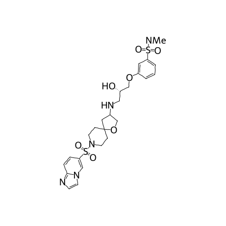 CNS(=O)(=O)c1cccc(OC[C@@H](O)CNC2COC3(CCN(S(=O)(=O)c4ccc5nccn5c4)CC3)C2)c1